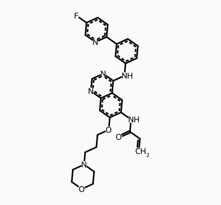 C=CC(=O)Nc1cc2c(Nc3cccc(-c4ccc(F)cn4)c3)ncnc2cc1OCCCN1CCOCC1